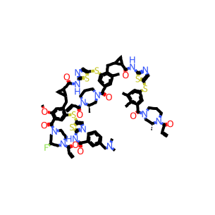 C=CC(=O)N1CCN(C(=O)c2cc(Sc3cnc(NC(=O)c4cccc(CN(C)C)c4)s3)c(CC3CC3C(=O)Nc3ncc(Sc4cc(C(=O)N5CCCN(C(=O)C=C)[C@H](C)C5)cc(C)c4CC4CC4C(=O)Nc4ncc(Sc5cc(C)c(C)c(C(=O)N6CCCN(C(=O)C=C)[C@H](C)C6)c5)s4)s3)cc2OC)CC(F)C1